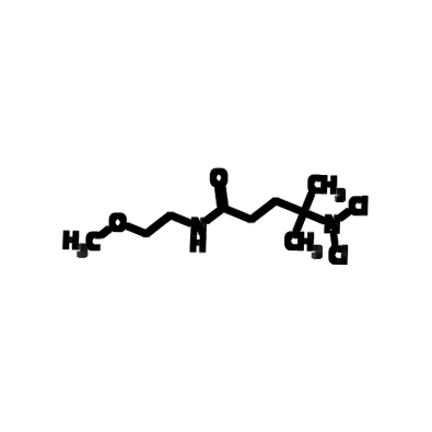 COCCNC(=O)CCC(C)(C)N(Cl)Cl